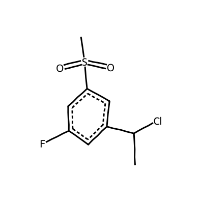 CC(Cl)c1cc(F)cc(S(C)(=O)=O)c1